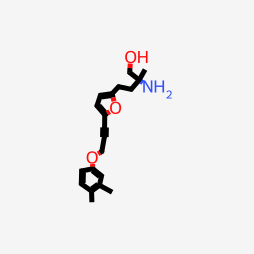 Cc1ccc(OCC#Cc2ccc(CCC(C)(N)CO)o2)cc1C